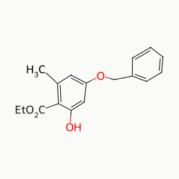 CCOC(=O)c1c(C)cc(OCc2ccccc2)cc1O